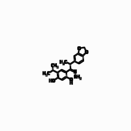 CC(C)c1cc(C(=NN)C(C)c2ccc3c(c2)OCO3)c(O)cc1O